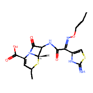 CCCON=C(C(=O)NC1C(=O)N2C(C(=O)O)=CC(C)S[C@@H]12)c1csc(=N)[nH]1